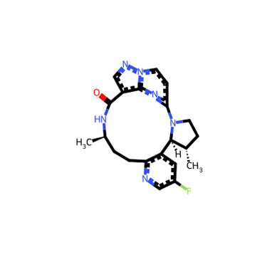 C[C@@H]1CCc2ncc(F)cc2[C@@H]2[C@@H](C)CCN2c2ccn3ncc(c3n2)C(=O)N1